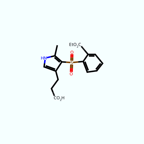 CCOC(=O)c1ccccc1S(=O)(=O)c1c(CCC(=O)O)c[nH]c1C